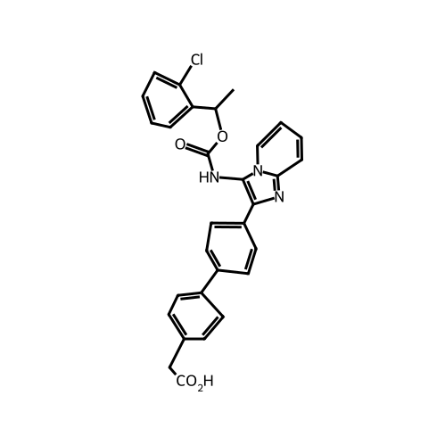 CC(OC(=O)Nc1c(-c2ccc(-c3ccc(CC(=O)O)cc3)cc2)nc2ccccn12)c1ccccc1Cl